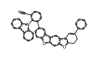 N#Cc1cccc(-c2ccc3oc4cc5oc6c(c5cc4c3c2)C=C(c2ccccc2)CC6)c1-n1c2ccccc2c2ccccc21